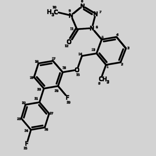 Cc1cccc(-n2nnn(C)c2=O)c1COc1cccc(-c2ccc(F)cc2)c1F